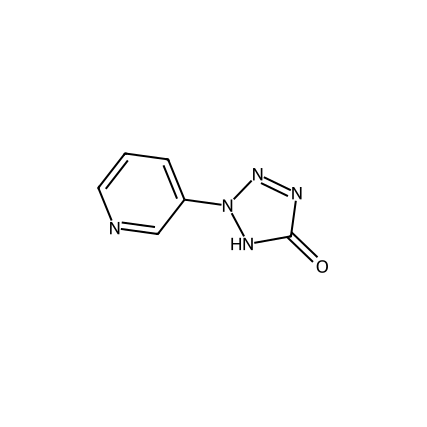 O=c1nnn(-c2cccnc2)[nH]1